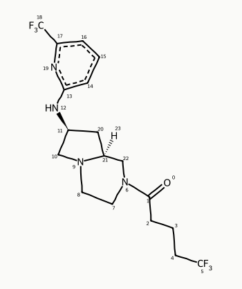 O=C(CCCC(F)(F)F)N1CCN2C[C@@H](Nc3cccc(C(F)(F)F)n3)C[C@H]2C1